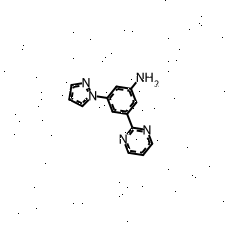 Nc1cc(-c2ncccn2)cc(-n2cccn2)c1